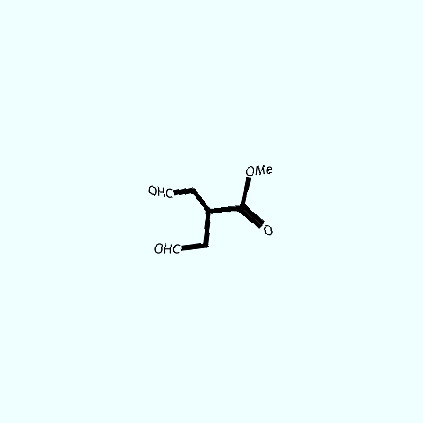 COC(=O)C(CC=O)CC=O